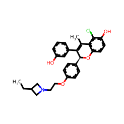 CCC1CN(CCOc2ccc([C@@H]3Oc4ccc(O)c(Cl)c4C(C)=C3c3cccc(O)c3)cc2)C1